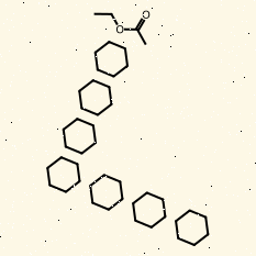 C1CCCCC1.C1CCCCC1.C1CCCCC1.C1CCCCC1.C1CCCCC1.C1CCCCC1.C1CCCCC1.CCOC(C)=O